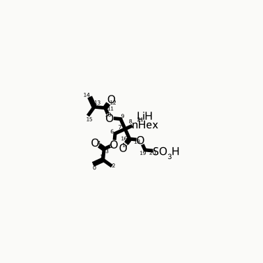 C=C(C)C(=O)OCC(CCCCCC)(COC(=O)C(=C)C)C(=O)OCS(=O)(=O)O.[LiH]